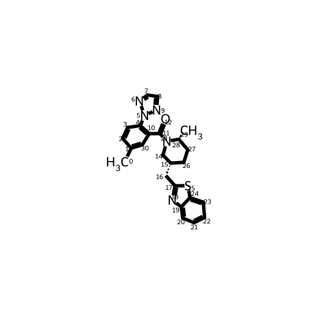 Cc1ccc(-n2nccn2)c(C(=O)N2C[C@@H](Cc3nc4ccccc4s3)CC[C@H]2C)c1